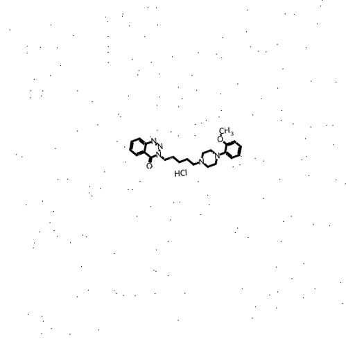 COc1ccccc1N1CCN(CCCCCn2nnc3ccccc3c2=O)CC1.Cl